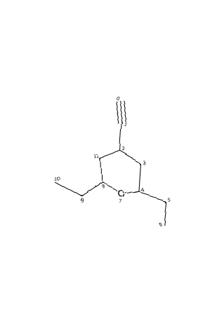 C#CC1CC(CC)OC(CC)C1